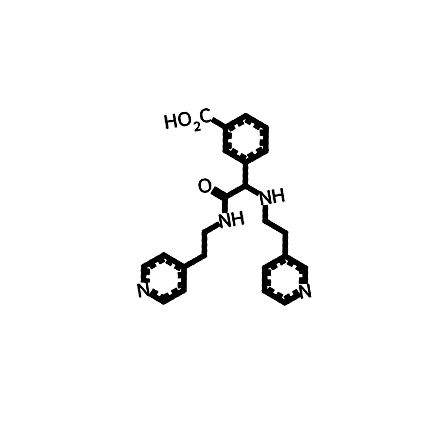 O=C(O)c1cccc(C(NCCc2cccnc2)C(=O)NCCc2ccncc2)c1